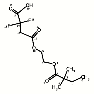 CCC(C)(C)C(=O)OCCOC(=O)CC(F)(F)C(=O)O